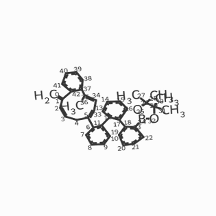 C=C1/C=C\C/C(c2ccccc2-c2ccccc2-c2ccccc2B2OC(C)(C)C(C)(C)O2)=C\C=C(/C)c2ccccc21